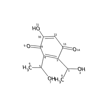 CC(O)C1=C(C(C)O)C(=O)C(O)=CC1=O